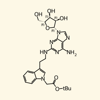 CC(C)(C)OC(=O)Cn1cc(CCNc2nc(N)c3ncn([C@@H]4O[C@H](CO)[C@@H](O)[C@H]4O)c3n2)c2ccccc21